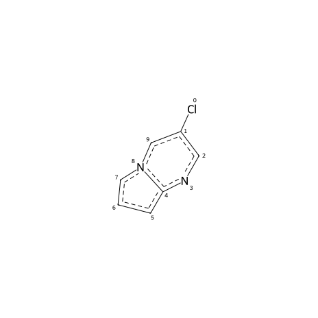 Clc1cnc2cccn2c1